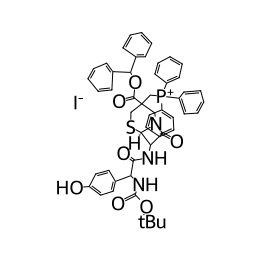 CC(C)(C)OC(=O)NC(C(=O)NC1C(=O)N2CC(C[P+](c3ccccc3)(c3ccccc3)c3ccccc3)(C(=O)OC(c3ccccc3)c3ccccc3)CS[C@H]12)c1ccc(O)cc1.[I-]